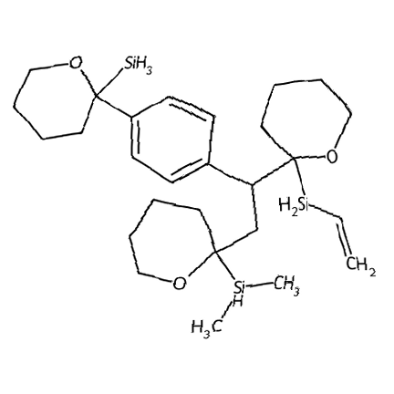 C=C[SiH2]C1(C(CC2([SiH](C)C)CCCCO2)c2ccc(C3([SiH3])CCCCO3)cc2)CCCCO1